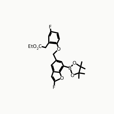 CCOC(=O)Cc1cc(F)ccc1OCc1cc(B2OC(C)(C)C(C)(C)O2)c2oc(F)cc2c1